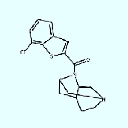 O=C(c1cc2cccc(Cl)c2s1)N1C2CC3CCN(C2)CC31